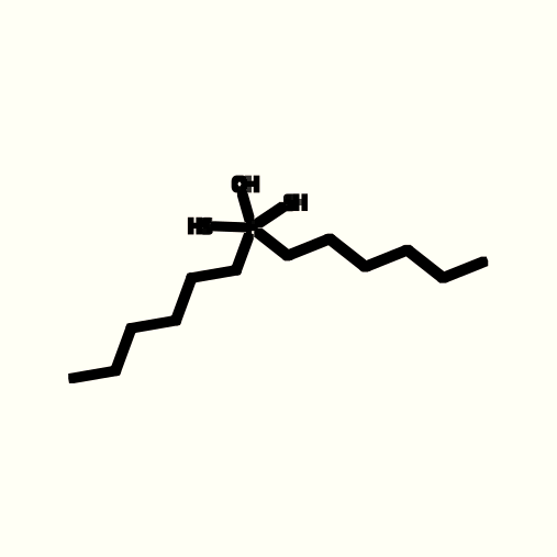 CCCCCCP(O)(S)(S)CCCCCC